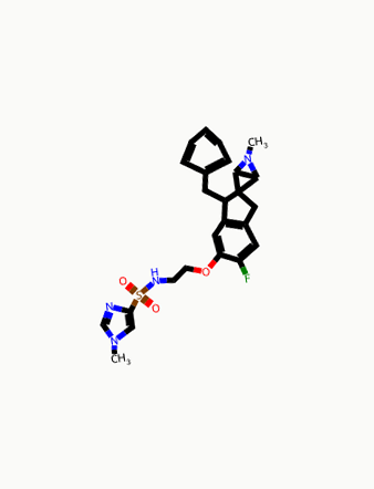 CN1C2C1C21Cc2cc(F)c(OCCNS(=O)(=O)c3cn(C)cn3)cc2C1Cc1ccccc1